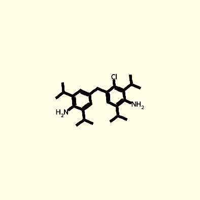 CC(C)c1cc(Cc2cc(C(C)C)c(N)c(C(C)C)c2Cl)cc(C(C)C)c1N